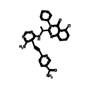 CC(Nc1ncnc(N)c1C#Cc1ccc(C(N)=O)cn1)c1nc2cccc(Cl)c2c(=O)n1-c1ccccc1